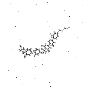 CCCCCc1ccc(-c2ccc(-c3cc(F)c(C(F)(F)Oc4ccc(-c5ccc(OC(F)(F)F)c(F)c5)cc4)c(F)c3)c(F)c2)c(F)c1